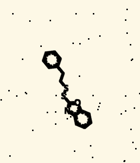 c1ccc(CCSSc2nc3ccccc3o2)cc1